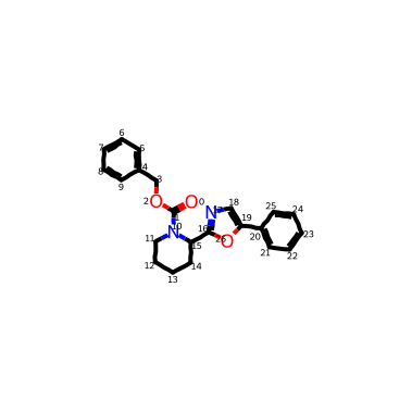 O=C(OCc1ccccc1)N1CCCCC1c1ncc(-c2ccccc2)o1